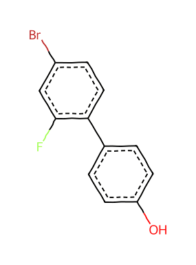 Oc1ccc(-c2ccc(Br)cc2F)cc1